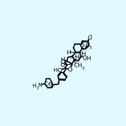 C[C@]12C=CC(=O)C=C1CC[C@@H]1[C@@H]2[C@@H](O)C[C@@]2(C)[C@H]1C[C@H]1OC(c3ccc(CC45CCC(N)(CC4)CO5)cc3)O[C@]12C(=O)CO